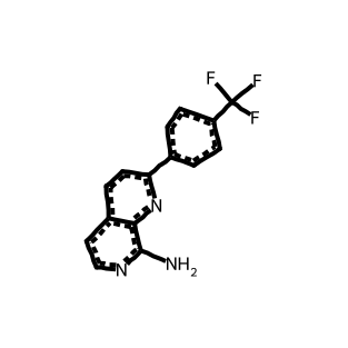 Nc1nccc2ccc(-c3ccc(C(F)(F)F)cc3)nc12